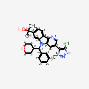 Cn1nnc(Cl)c1-c1cnc2c3ccc(C(C)(C)O)cc3n(C(c3ccccc3)C3CCOCC3)c2c1